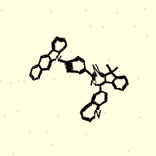 CC1(C)c2ccccc2-c2c(-c3ccc4ncccc4c3)nc(-c3ccc(-n4c5ccccc5c5cc6ccccc6cc54)cc3)nc21